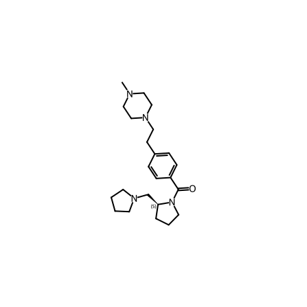 CN1CCN(CCc2ccc(C(=O)N3CCC[C@H]3CN3CCCC3)cc2)CC1